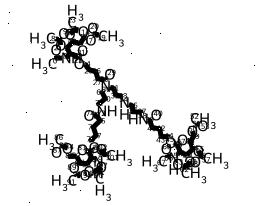 CC(=O)NC1C(OC(C)=O)[C@@H](OC(C)=O)C(COC(C)=O)O[C@H]1OCCCCC(=O)N(CCCNCCCNC(=O)CCCCO[C@@H]1OC(COC(C)=O)[C@H](OC(C)=O)C(OC(C)=O)[C@H]1NC(C)=O)CCCNC(=O)CCCCO[C@@H]1OC(COC(C)=O)[C@H](OC(C)=O)C(OC(C)=O)[C@H]1NC(C)=O